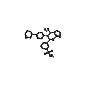 NC1c2ccoc2N=C(c2cccc(S(N)(=O)=O)c2)N1c1ccc(-c2cccnc2)cc1